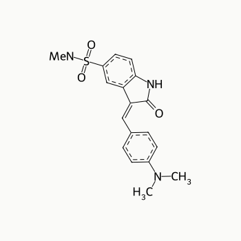 CNS(=O)(=O)c1ccc2c(c1)C(=Cc1ccc(N(C)C)cc1)C(=O)N2